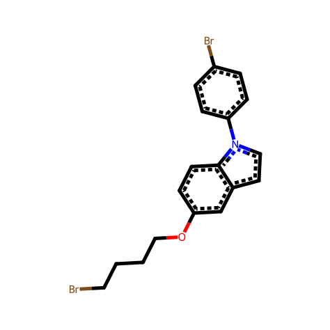 BrCCCCOc1ccc2c(ccn2-c2ccc(Br)cc2)c1